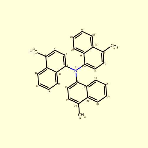 Cc1ccc(N(c2ccc(C)c3ccccc23)c2ccc(C)c3ccccc23)c2ccccc12